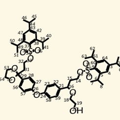 CC(C)c1cc(C(C)C)c(S(=O)(=O)OCCC(OCCO)c2ccc(Oc3ccc(C4(CCOS(=O)(=O)c5c(C(C)C)cc(C(C)C)cc5C(C)C)OCCO4)cc3)cc2)c(C(C)C)c1